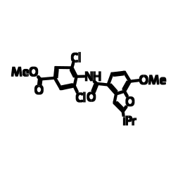 COC(=O)c1cc(Cl)c(NC(=O)c2ccc(OC)c3oc(C(C)C)cc23)c(Cl)c1